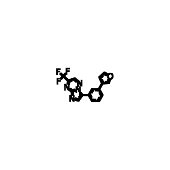 FC(F)(F)c1cnn2c(-c3cccc(-c4ccoc4)c3)cnc2n1